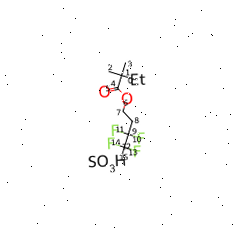 CCC(C)(C)C(=O)OCCC(F)(F)C(F)(F)S(=O)(=O)O